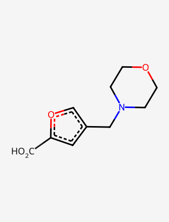 O=C(O)c1cc(CN2CCOCC2)co1